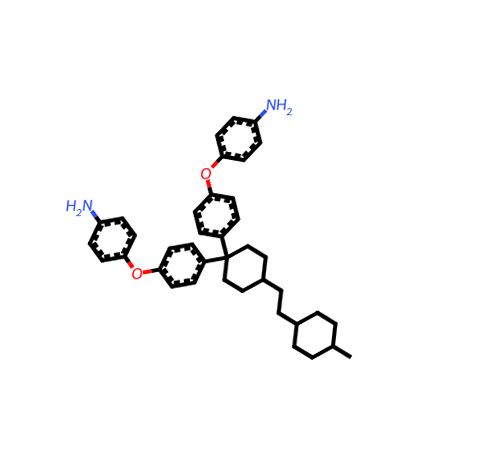 CC1CCC(CCC2CCC(c3ccc(Oc4ccc(N)cc4)cc3)(c3ccc(Oc4ccc(N)cc4)cc3)CC2)CC1